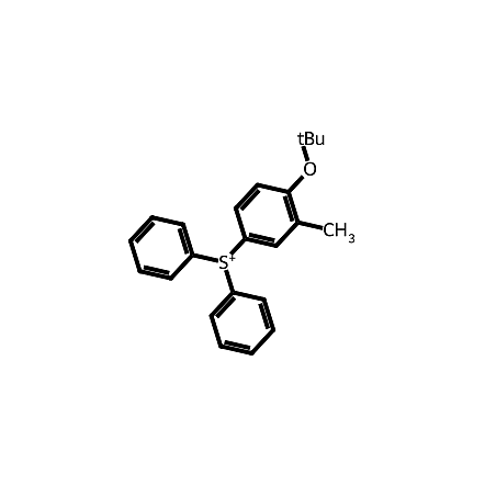 Cc1cc([S+](c2ccccc2)c2ccccc2)ccc1OC(C)(C)C